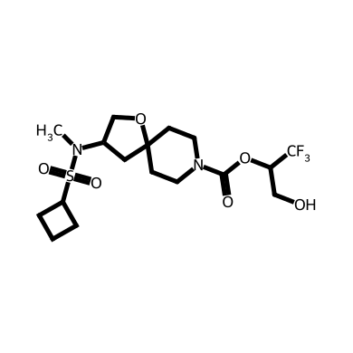 CN(C1COC2(CCN(C(=O)OC(CO)C(F)(F)F)CC2)C1)S(=O)(=O)C1CCC1